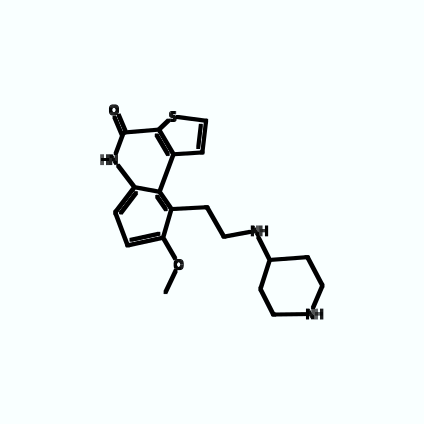 COc1ccc2[nH]c(=O)c3sccc3c2c1CCNC1CCNCC1